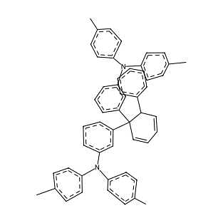 Cc1ccc(N(c2ccc(C)cc2)c2cccc(C3(c4cccc(N(c5ccc(C)cc5)c5ccc(C)cc5)c4)C=CC=CC3c3ccccc3)c2)cc1